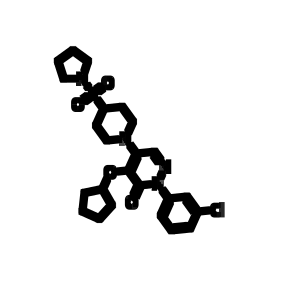 O=c1c(OC2CCCC2)c(N2CCC(S(=O)(=O)N3CCCC3)CC2)cnn1-c1cccc(Cl)c1